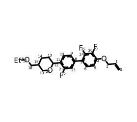 C=CCOc1ccc(-c2ccc(C3CCC(COCC)CO3)c(F)c2)c(F)c1F